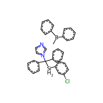 CB(c1ccccc1)c1ccccc1.Clc1cccc([SiH2]C(c2ccccc2)(c2ccccc2)n2ccnc2)c1